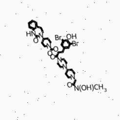 CN(O)C(=O)CN1CCC(N2CCN(C(=O)C(Cc3cc(Br)c(O)c(Br)c3)OC(=O)N3CCC(N4CCc5ccccc5NC4=O)CC3)CC2)CC1